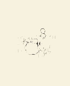 COc1cnc(O[C@@H]2C[C@H]3C(=O)N[C@]4(C(=O)NS(=O)(=O)C5(CF)CC5)C[C@H]4C=CCC[C@H](C)C[C@@H](C)[C@H](N(C(=O)O)C4(C)CCOCC4)C(=O)N3C2)c2ccccc12